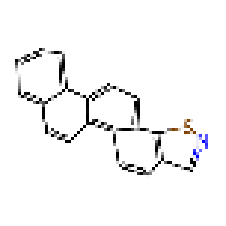 c1ccc2c(c1)ccc1c2ccc2c1ccc1cnsc12